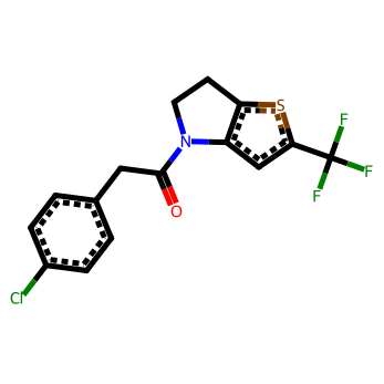 O=C(Cc1ccc(Cl)cc1)N1CCc2sc(C(F)(F)F)cc21